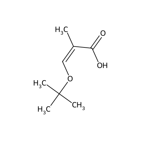 CC(=COC(C)(C)C)C(=O)O